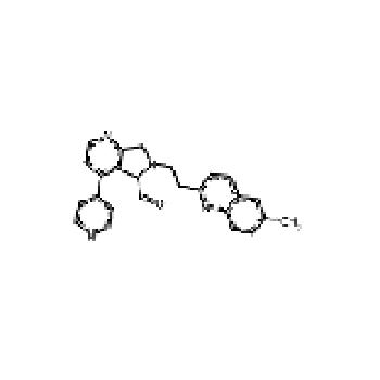 Cc1ccc2nc(CCN3Cc4nccc(-c5ccncc5)c4C3C=O)ccc2c1